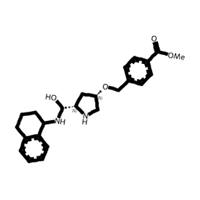 COC(=O)c1ccc(CO[C@@H]2CN[C@H](C(O)NC3CCCc4ccccc43)C2)cc1